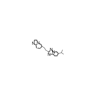 CC(C)c1ccc2nc(CCc3ccc4nccn4c3)nn2c1